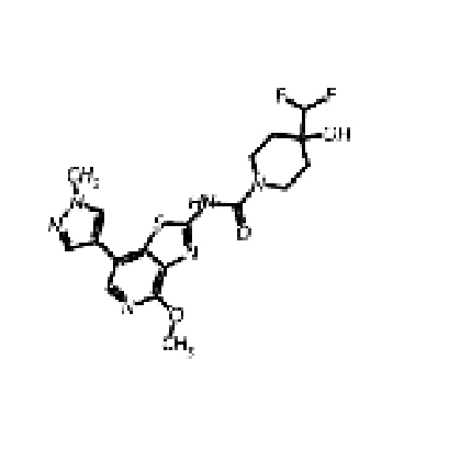 COc1ncc(-c2cnn(C)c2)c2sc(NC(=O)N3CCC(O)(C(F)F)CC3)nc12